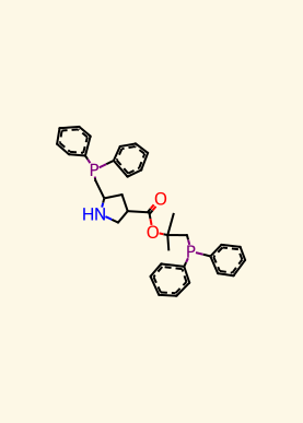 CC(C)(CP(c1ccccc1)c1ccccc1)OC(=O)C1CNC(CP(c2ccccc2)c2ccccc2)C1